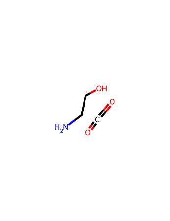 NCCO.O=C=O